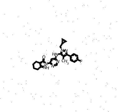 Cc1c(-c2ccc(F)cc2)nn(CC2CC2)c1Nc1cc(-n2[nH]c3c(c2=O)CCCC3)ncn1